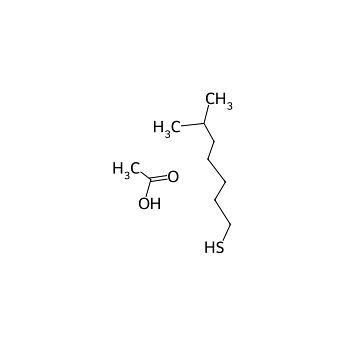 CC(=O)O.CC(C)CCCCCS